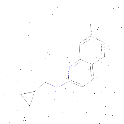 [CH2]Cc1ccc2ccc(NCC3CC3)nc2c1